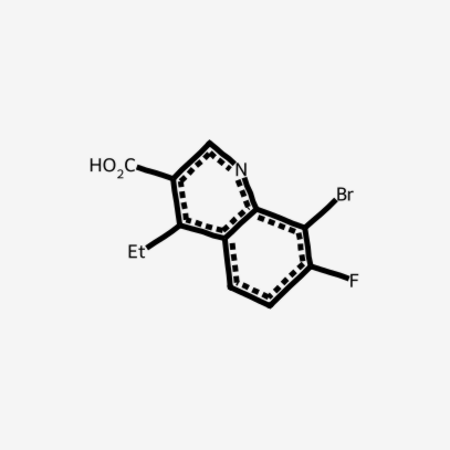 CCc1c(C(=O)O)cnc2c(Br)c(F)ccc12